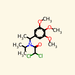 COc1cc(C(C)N(C(=O)C(Cl)Cl)C(C)C)cc(OC)c1OC